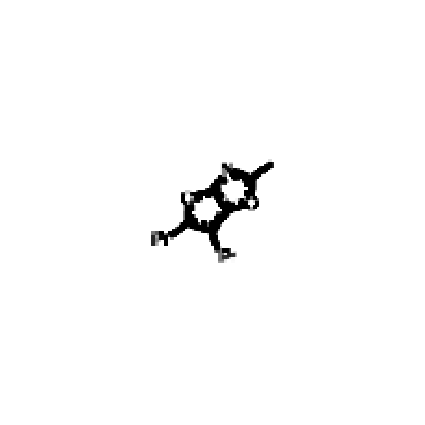 Cc1nc2oc(C(C)C)c(C(C)C)c2o1